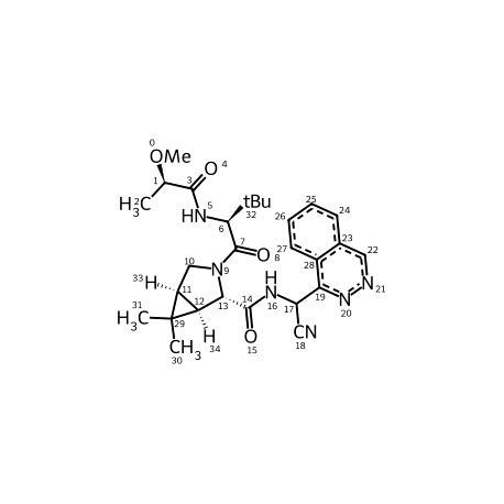 CO[C@H](C)C(=O)N[C@H](C(=O)N1C[C@H]2[C@@H]([C@H]1C(=O)NC(C#N)c1nncc3ccccc13)C2(C)C)C(C)(C)C